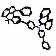 CC1(C)c2ccc(-c3ccc(N(c4ccc(-c5ccccc5)cc4)c4cc5ccccc5c5ccccc45)cc3)cc2-c2c(-c3ccccc3)ccc3cccc1c23